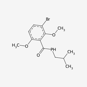 COc1ccc(Br)c(OC)c1C(=O)PCC(C)C